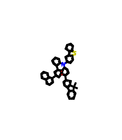 CC1(C)c2ccccc2-c2ccc(-c3ccc(N(c4ccc5sc6ccccc6c5c4)c4ccccc4-c4cccc(-c5cccc6ccccc56)c4)cc3)cc21